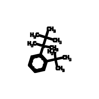 CC(C)(C)c1ccccc1S(C)(C)C(C)(C)C